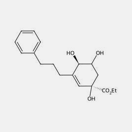 CCOC(=O)[C@]1(O)C=C(CCCc2ccccc2)[C@@H](O)C(O)C1